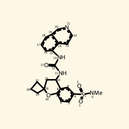 CNS(=O)(=O)c1ccc2c(c1)C(NC(=O)Nc1cccc3cnccc13)CC1(CCC1)O2